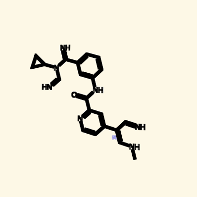 CN/C=C(\C=N)c1ccnc(C(=O)Nc2cccc(C(=N)N(C=N)C3CC3)c2)c1